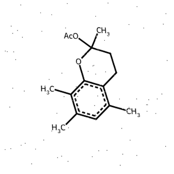 CC(=O)OC1(C)CCc2c(C)cc(C)c(C)c2O1